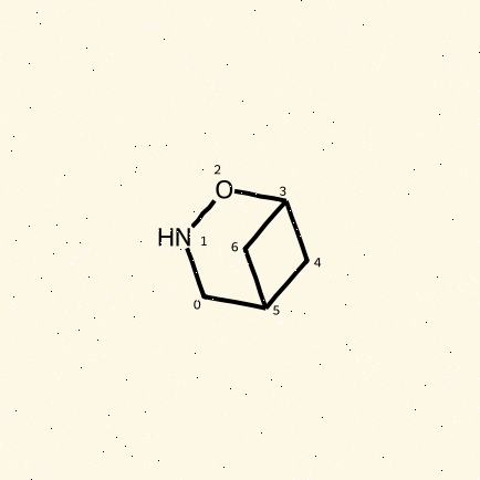 C1NOC2CC1C2